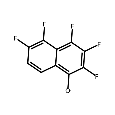 [O]c1c(F)c(F)c(F)c2c(F)c(F)ccc12